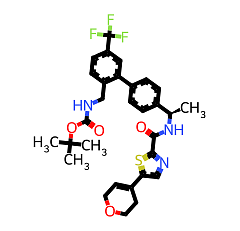 C[C@@H](NC(=O)c1ncc(C2=CCOCC2)s1)c1ccc(-c2cc(C(F)(F)F)ccc2CNC(=O)OC(C)(C)C)cc1